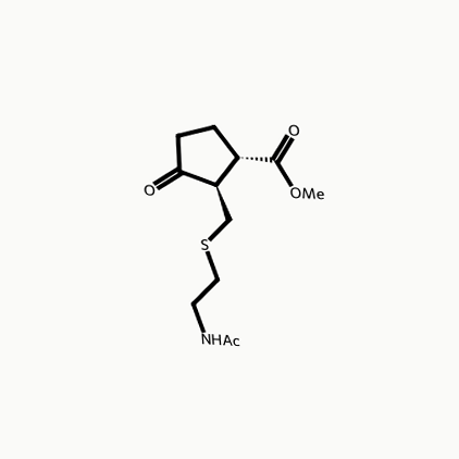 COC(=O)[C@H]1CCC(=O)[C@@H]1CSCCNC(C)=O